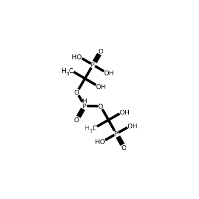 CC(O)(O[PH](=O)OC(C)(O)P(=O)(O)O)P(=O)(O)O